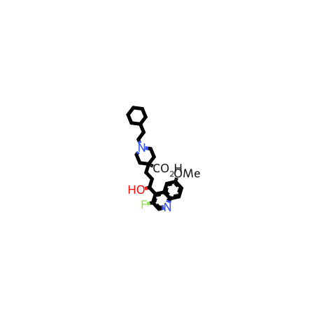 COc1ccc2ncc(F)c(C(O)CCC3(C(=O)O)CCN(CCC4CCCCC4)CC3)c2c1